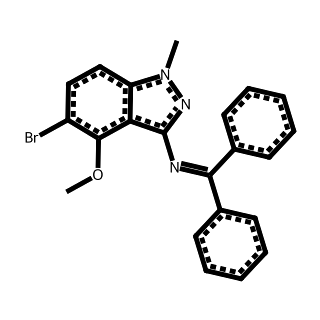 COc1c(Br)ccc2c1c(N=C(c1ccccc1)c1ccccc1)nn2C